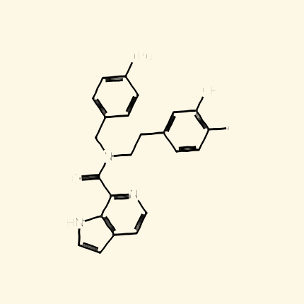 CC(C)(C)c1ccc(CN(CCc2ccc(Cl)c(C(F)(F)F)c2)C(=O)c2nccc3cc[nH]c23)cc1